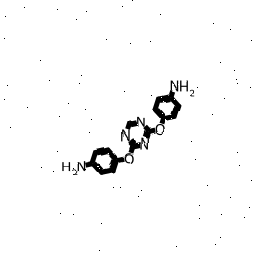 Nc1ccc(Oc2ncnc(Oc3ccc(N)cc3)n2)cc1